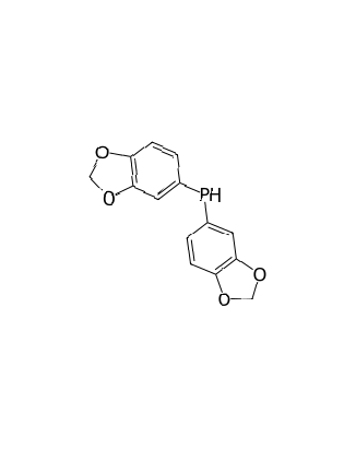 c1cc2c(cc1Pc1ccc3c(c1)OCO3)OCO2